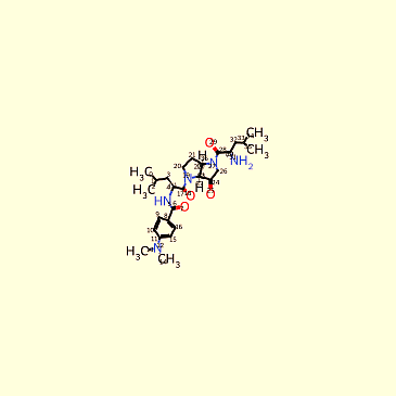 CC(C)C[C@H](NC(=O)c1ccc(N(C)C)cc1)C(=O)N1CC[C@@H]2[C@H]1C(=O)CN2C(=O)[C@@H](N)CC(C)C